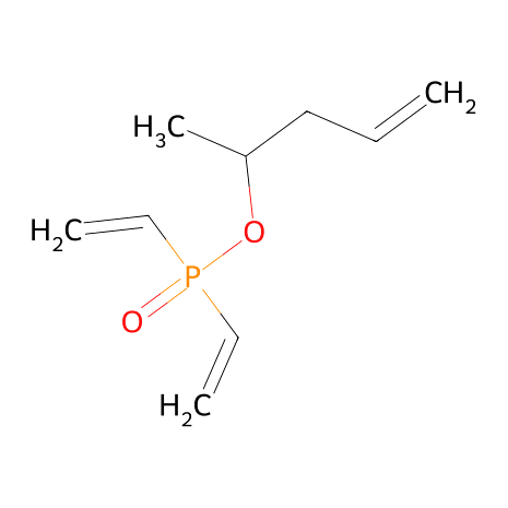 C=CCC(C)OP(=O)(C=C)C=C